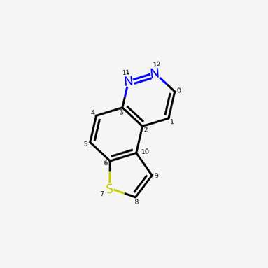 c1cc2c(ccc3sccc32)nn1